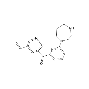 C=Cc1cncc(C(=O)c2cccc(N3CCCNCC3)n2)c1